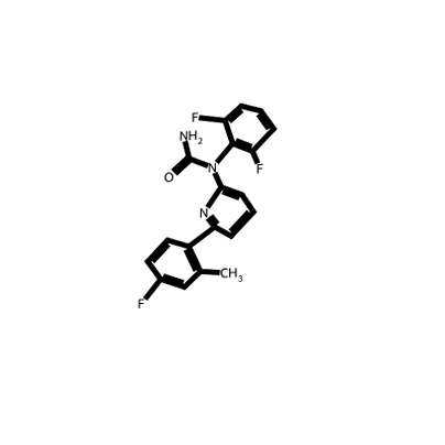 Cc1cc(F)ccc1-c1cccc(N(C(N)=O)c2c(F)cccc2F)n1